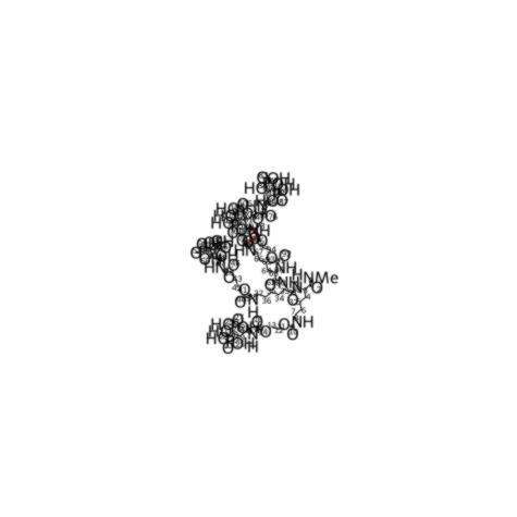 CNC(=O)C(CCCCNC(=O)OCCOC(=O)NCCC(O)(P(=O)(O)O)P(=O)(O)O)NC(=O)C(CCCCNC(=O)OCCOC(=O)NCCC(O)(P(=O)(O)O)P(=O)(O)O)NC(=O)C(CCCCNC(=O)OCCOC(=O)NCCC(O)(P(=O)(O)O)P(=O)(O)O)NC(=O)OCCOC(=O)NCCC(O)(P(=O)(O)O)P(=O)(O)O